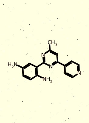 Cc1cc(-c2ccncc2)nc(-c2cc(N)ccc2N)n1